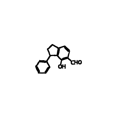 O=Cc1ccc2c(c1O)C(c1ccccc1)CC2